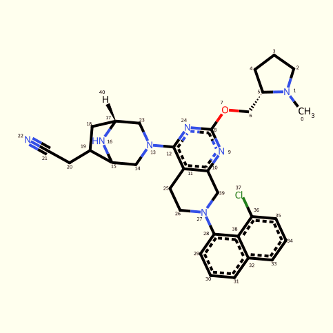 CN1CCC[C@H]1COc1nc2c(c(N3CC4N[C@H](CC4CC#N)C3)n1)CCN(c1cccc3cccc(Cl)c13)C2